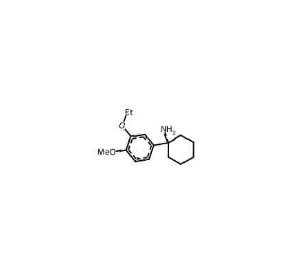 CCOc1cc(C2(N)CCCCC2)ccc1OC